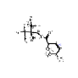 CC(C)/C=C\C(C)C(=O)OCC(O)(C(F)(F)F)C(F)(F)F